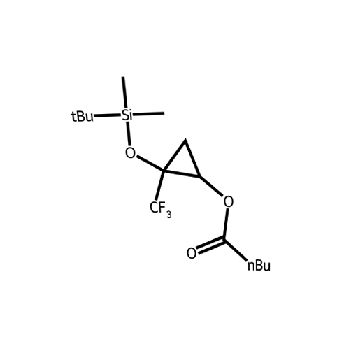 CCCCC(=O)OC1CC1(O[Si](C)(C)C(C)(C)C)C(F)(F)F